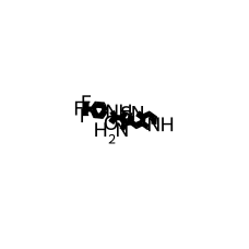 Nc1c(C(=O)Nc2ccc(C(F)(F)F)cc2)sc2nc3c(cc12)CNCC3